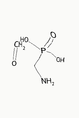 C=O.NCP(=O)(O)O